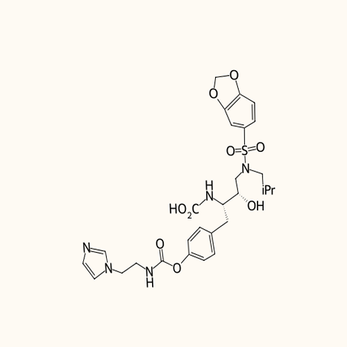 CC(C)CN(C[C@H](O)[C@H](Cc1ccc(OC(=O)NCCn2ccnc2)cc1)NC(=O)O)S(=O)(=O)c1ccc2c(c1)OCO2